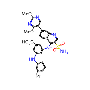 COc1ncc(-c2ccc3c(Nc4cc(Nc5cccc(C(C)C)c5)cc(C(=O)O)c4)c(S(N)(=O)=O)cnc3c2)c(OC)n1